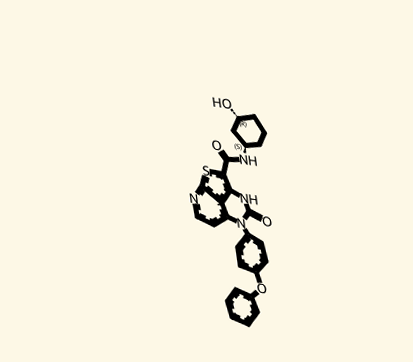 O=C(N[C@H]1CCC[C@@H](O)C1)c1sc2nccc3c2c1NC(=O)N3c1ccc(Oc2ccccc2)cc1